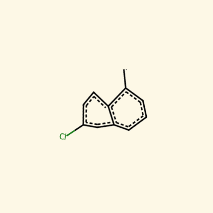 [CH2]c1cccc2cc(Cl)ccc12